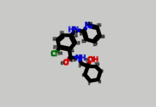 O=C(NCC1(O)CCCCC1)c1cc(Nc2ccccn2)ccc1Cl